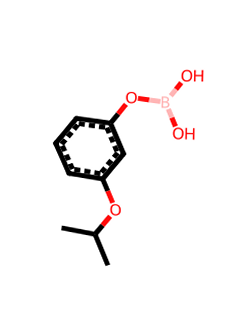 CC(C)Oc1cccc(OB(O)O)c1